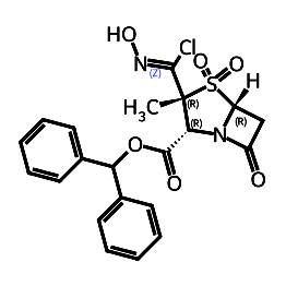 C[C@]1(/C(Cl)=N/O)[C@@H](C(=O)OC(c2ccccc2)c2ccccc2)N2C(=O)C[C@H]2S1(=O)=O